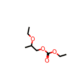 CCOC(=O)OCC(C)OCC